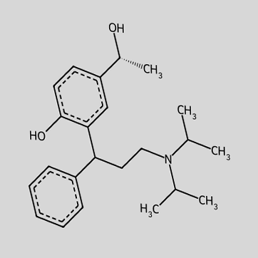 CC(C)N(CCC(c1ccccc1)c1cc([C@@H](C)O)ccc1O)C(C)C